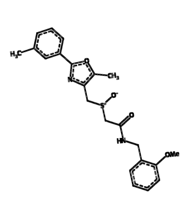 COc1ccccc1CNC(=O)C[S+]([O-])Cc1nc(-c2cccc(C)c2)oc1C